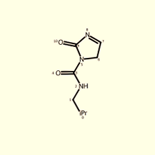 CC(C)CNC(=O)N1CC=NC1=O